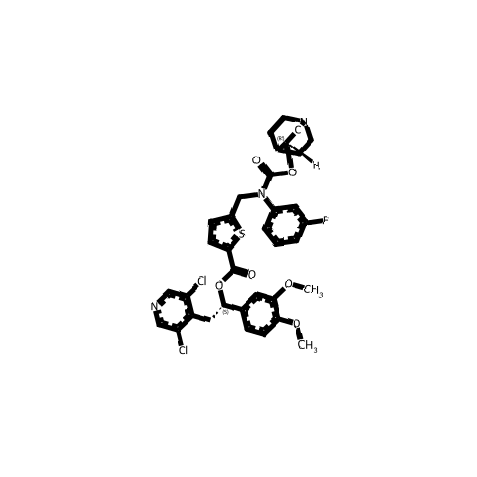 COc1ccc([C@H](Cc2c(Cl)cncc2Cl)OC(=O)c2ccc(CN(C(=O)O[C@H]3CN4CCC3CC4)c3cccc(F)c3)s2)cc1OC